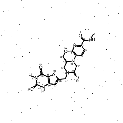 CNC(=O)c1ccc2c(n1)OCC1CN(Cc3cc4[nH]c(=O)n(C)c(=O)c4s3)C(=O)CN21